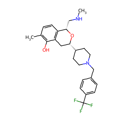 CNC[C@@H]1O[C@H](C2CCN(Cc3ccc(C(F)(F)F)cc3)CC2)Cc2c1ccc(C)c2O